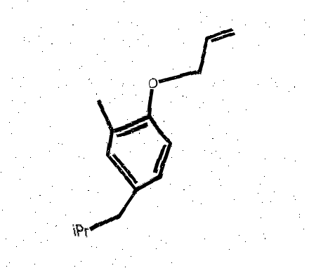 C=CCOc1ccc(CC(C)C)cc1C